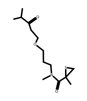 CC(C)C(=O)CCOCCCN(C)C(=O)C1(C)CS1